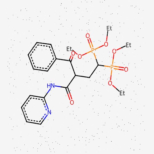 CCOP(=O)(OCC)C(CC(C(=O)Nc1ccccn1)C(=O)c1ccccc1)P(=O)(OCC)OCC